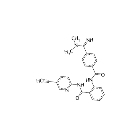 C#Cc1ccc(NC(=O)c2ccccc2NC(=O)c2ccc(C(=N)N(C)C)cc2)nc1